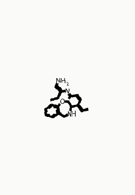 C\C=C(/C=C\C(C)=N\C(=C/N)CC)C1COc2ccccc2CN1